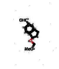 COCOC1CCc2cc(C=O)ccc21